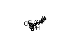 Cc1cccc(N2CCN(CCNC(=O)c3ccc(S(=O)(=O)N(Oc4ccc(Cl)c(Cl)c4)c4ccccc4)cc3)CC2)n1